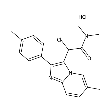 Cc1ccc(-c2nc3ccc(C)cn3c2C(Cl)C(=O)N(C)C)cc1.Cl